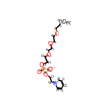 CCCCCCCCCCCCOCCOCCOCCOP(=O)([O-])OCC[n+]1ccccc1